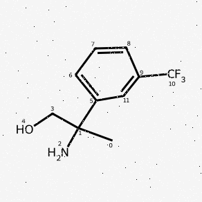 CC(N)(CO)c1cccc(C(F)(F)F)c1